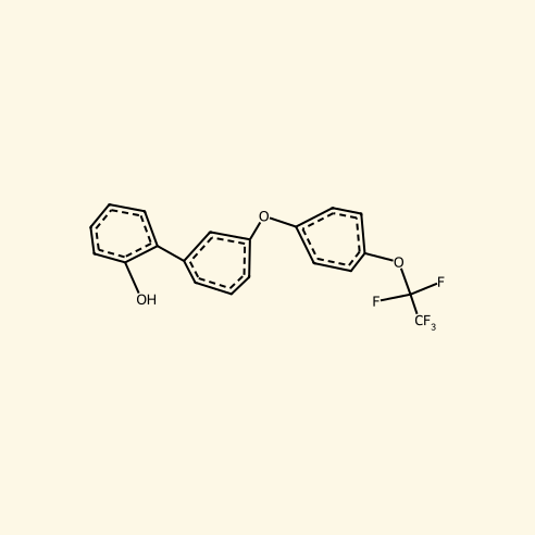 Oc1ccccc1-c1cccc(Oc2ccc(OC(F)(F)C(F)(F)F)cc2)c1